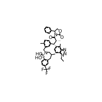 CCn1nnc2c(C)c([C@H](c3ccc(C)c(CN4CC(C)Cc5cc(C(F)(F)F)ccc5S4(O)O)c3)[C@@H](C)C(=O)N3C(=O)OCC3c3ccccc3)ccc21